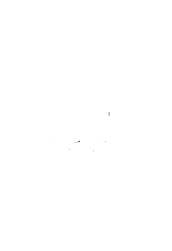 O=c1[nH]c2c(c([C@H]3CCCN3)nn2CC(F)(F)F)c2c1CCCC2